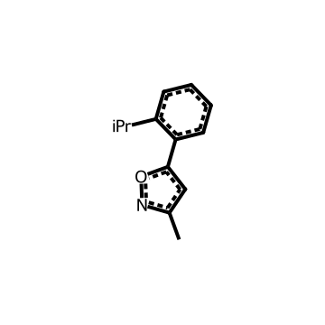 Cc1cc(-c2ccccc2C(C)C)on1